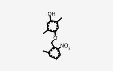 Cc1cc(OCc2c(C)cccc2[N+](=O)[O-])c(C)cc1O